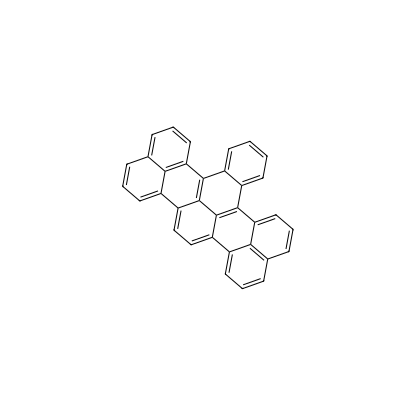 c1cc2cccc3c2c(c1)c1ccc2c4cccc5cccc(c54)c4c5ccccc5c3c1c24